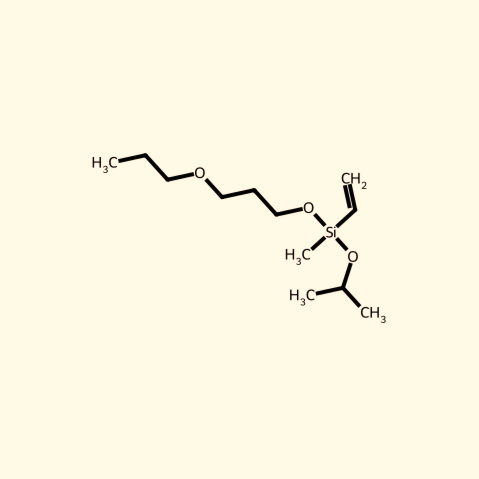 C=C[Si](C)(OCCCOCCC)OC(C)C